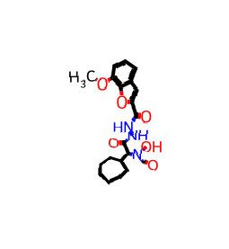 COc1cccc2cc(C(=O)NNC(=O)C(C3CCCCCC3)N(O)C=O)oc12